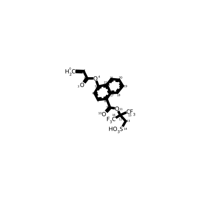 C=CC(=O)Oc1ccc(C(=O)OC(CS(=O)(=O)O)(C(F)(F)F)C(F)(F)F)c2ccccc12